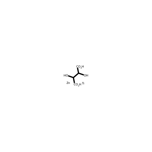 O=C(O)C(O)C(O)C(=O)O.[Ti].[Zn]